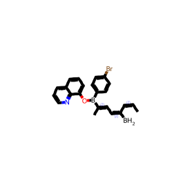 BC(/C=C\C)=C/C=C(\C)B(Oc1cccc2cccnc12)c1ccc(Br)cc1